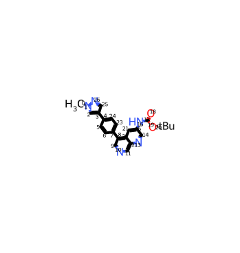 Cn1cc(-c2ccc(-c3cncc4ncc(NC(=O)OC(C)(C)C)cc34)cc2)cn1